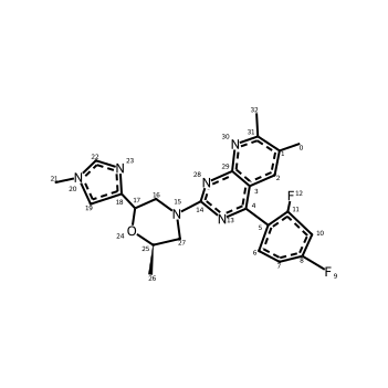 Cc1cc2c(-c3ccc(F)cc3F)nc(N3CC(c4cn(C)cn4)O[C@H](C)C3)nc2nc1C